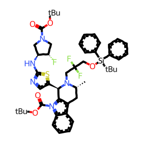 C[C@@H]1Cc2c(n(C(=O)OC(C)(C)C)c3ccccc23)[C@@H](c2cnc(N[C@H]3CN(C(=O)OC(C)(C)C)C[C@@H]3F)s2)N1CC(F)(F)CO[Si](c1ccccc1)(c1ccccc1)C(C)(C)C